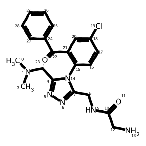 CN(C)Cc1nnc(CNC(=O)CN)n1-c1ccc(Cl)cc1C(=O)c1ccccc1